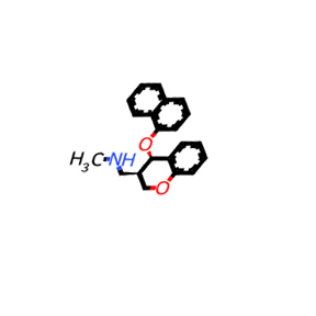 CNC[C@@H]1COc2ccccc2[C@@H]1Oc1cccc2ccccc12